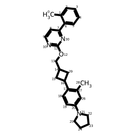 Cc1ccccc1-c1ccnc(OCC2CC(c3ccc(N4CCCC4)cc3C)C2)n1